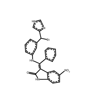 CCC(c1cccc(N/C(=C2\C(=O)Nc3ccc([N+](=O)[O-])cc32)c2ccccc2)c1)c1c[nH]cn1